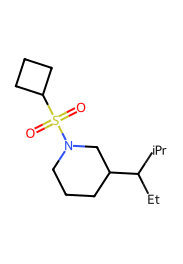 CCC(C(C)C)C1CCCN(S(=O)(=O)C2CCC2)C1